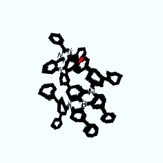 c1ccc(-c2cc(-c3ccccc3)cc(N3c4ccc(-c5ccccc5)cc4B4c5cc(-c6ccccc6)ccc5N(c5cc(-c6ccccc6)cc(-c6ccccc6)c5)c5cc(-c6ccc7c(c6)c6ccccc6n7-c6ccccc6-c6nc(-c7ccccc7)nc(-c7ccccc7)n6)cc3c54)c2)cc1